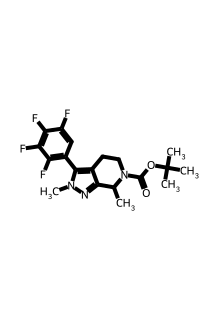 CC1c2nn(C)c(-c3cc(F)c(F)c(F)c3F)c2CCN1C(=O)OC(C)(C)C